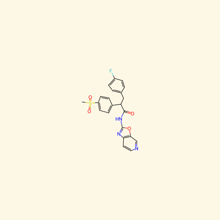 CS(=O)(=O)c1ccc(C(Cc2ccc(F)cc2)C(=O)Nc2nc3ccncc3o2)cc1